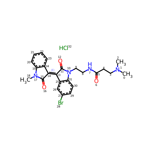 CN(C)CCC(=O)NCCN1C(=O)/C(=C2/C(=O)N(C)c3ccccc32)c2cc(Br)ccc21.Cl